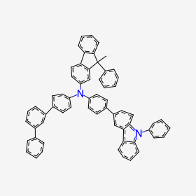 CC1(c2ccccc2)c2ccccc2-c2ccc(N(c3ccc(-c4cccc(-c5ccccc5)c4)cc3)c3ccc(-c4ccc5c(c4)c4ccccc4n5-c4ccccc4)cc3)cc21